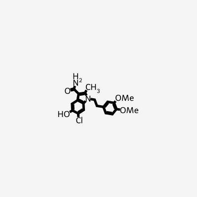 COc1ccc(CCn2c(C)c(C(N)=O)c3cc(O)c(Cl)cc32)cc1OC